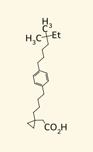 CCC(C)(C)CCCCc1ccc(CCCCC2(CC(=O)O)CC2)cc1